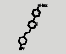 CCCCCCc1ccc(-c2ccc(CCC3CCC(CCC)CC3)cn2)cc1